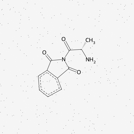 C[C@H](N)C(=O)N1C(=O)c2ccccc2C1=O